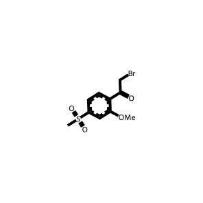 COc1cc(S(C)(=O)=O)ccc1C(=O)CBr